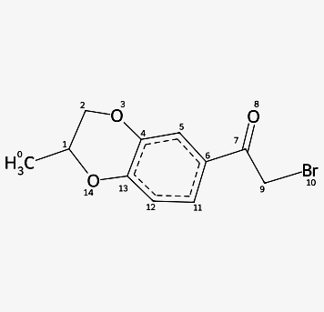 CC1COc2cc(C(=O)CBr)ccc2O1